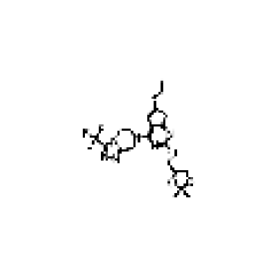 CCCc1cc2c(N3CCn4c(nnc4C(F)(F)F)C3)nc(OCC3COC(C)(C)O3)nc2s1